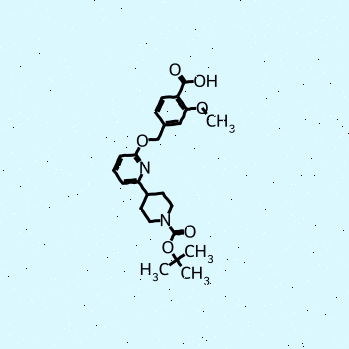 COc1cc(COc2cccc(C3CCN(C(=O)OC(C)(C)C)CC3)n2)ccc1C(=O)O